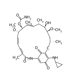 CO[C@H]1/C=C\C=C(/C)C(=O)NC2=CC(=O)C(NC3CC3)=C(C[C@@H](C)C[C@H](OC)[C@H](O)[C@@H](C)/C=C(\C)[C@@H]1OC(N)=O)C2=O